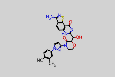 N#Cc1ccc(-n2ccc(N3CCOC(C(O)c4nc(=O)c5c(ccc6c(N)nsc65)[nH]4)C3=O)n2)cc1C(F)(F)F